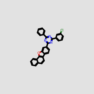 Clc1cccc(-c2nc(-c3ccccc3)nc(-c3ccc4c(c3)oc3c5ccccc5ccc43)n2)c1